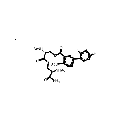 CC(=O)N[C@H](CSC(=O)[C@@H](CSC(=O)c1cc(-c2ccc(F)cc2F)ccc1OC(C)=O)NC(C)=O)C(N)=O